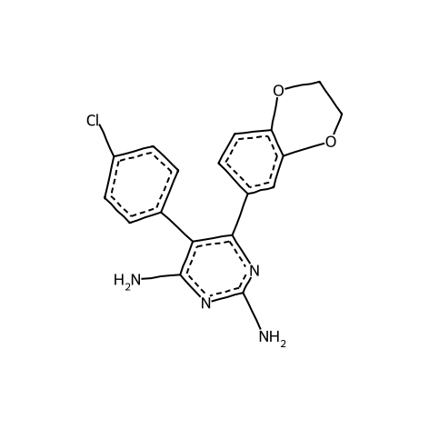 Nc1nc(N)c(-c2ccc(Cl)cc2)c(-c2ccc3c(c2)OCCO3)n1